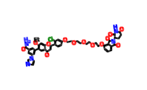 CCOc1cc2oc(-c3ccc(OCCOCCOCCOCCOc4cccc5c4C(=O)N(C4CCC(=O)NC4=O)C5=O)cc3Cl)cc(=O)c2cc1-c1cc(C(N)=O)cc(-n2ccnc2)c1